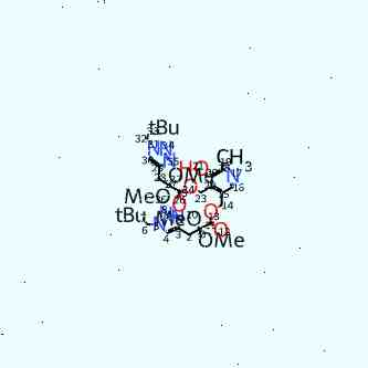 COC(Cc1cn(CC(C)(C)C)nn1)(OC)C(=O)OCc1cnc(C)c(O)c1COC(=O)C(Cc1cn(CC(C)(C)C)nn1)(OC)OC